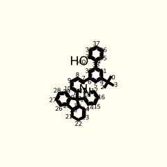 CC(C)(C)c1cc(-c2cccc(C3(c4ccccn4)C4=C(CCC=C4)c4ccccc43)n2)cc(-c2ccccc2O)c1